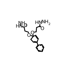 NNC(=O)CCOC1(OCCC(=O)NN)C=CC(c2ccccc2)=CC1